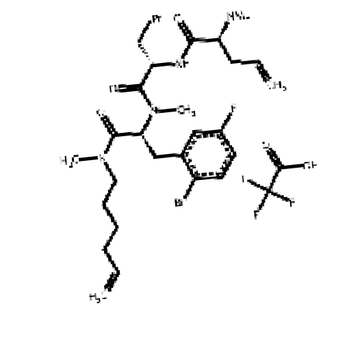 C=CCCCCN(C)C(=O)[C@H](Cc1cc(F)ccc1Br)N(C)C(=O)[C@H](CC(C)C)NC(=O)[C@H](CC=C)NC.O=C(O)C(F)(F)F